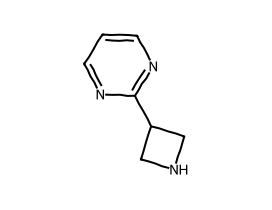 c1cnc(C2CNC2)nc1